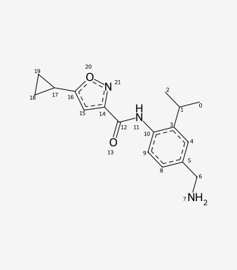 CC(C)c1cc(CN)ccc1NC(=O)c1cc(C2CC2)on1